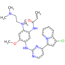 C=CC(=O)Nc1cc(Nc2nccc(-c3cc(Cl)c4ccccn34)n2)c(OC)cc1N(C)CCN(C)C